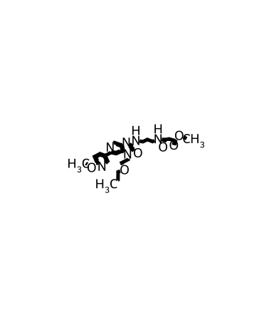 CCCOCCn1c(=O)c(NCCCNC(=O)CC(=O)OC)nc2cnc(-c3ccc(OC)nc3)cc21